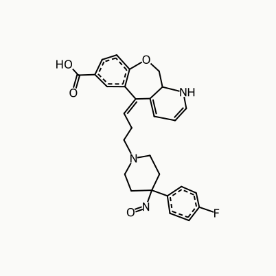 O=NC1(c2ccc(F)cc2)CCN(CC/C=C2\C3=CC=CNC3COc3ccc(C(=O)O)cc32)CC1